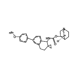 CCCOc1ccc(-c2ccc3c(c2)CCC2(CC2)C3NC(=O)O[C@H]2CN3CCC2CC3)cc1